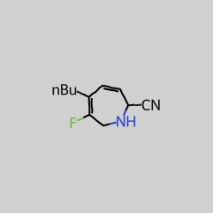 CCCCC1=C(F)CNC(C#N)C=C1